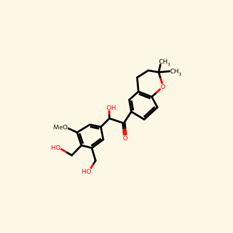 COc1cc(C(O)C(=O)c2ccc3c(c2)CCC(C)(C)O3)cc(CO)c1CO